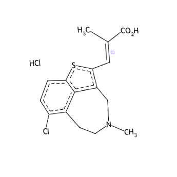 C/C(=C\c1sc2ccc(Cl)c3c2c1CN(C)CC3)C(=O)O.Cl